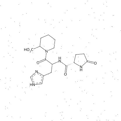 O=C1CC[C@@H](C(=O)NC(Cc2c[nH]cn2)C(=O)N2CCCCC2C(=O)O)N1